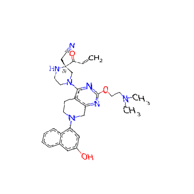 C=CC(=O)[C@]1(CC#N)CN(c2nc(OCCN(C)C)nc3c2CCN(c2cc(O)cc4ccccc24)C3)CCN1